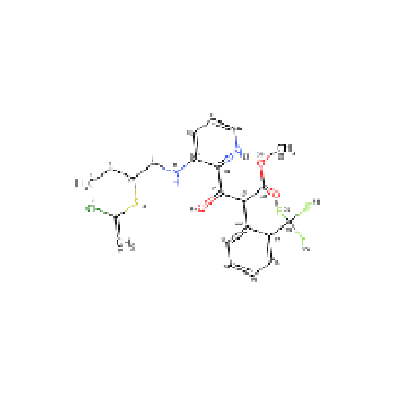 C=C(Cl)SC(CC)CNc1cccnc1C(=O)C(C(=O)OC)c1ccccc1C(F)(F)F